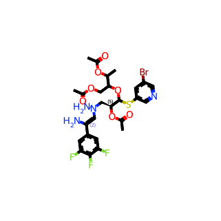 CC(=O)OCC(OC(Sc1cncc(Br)c1)[C@H](CN(N)/C=C(\N)c1cc(F)c(F)c(F)c1)OC(C)=O)C(C)OC(C)=O